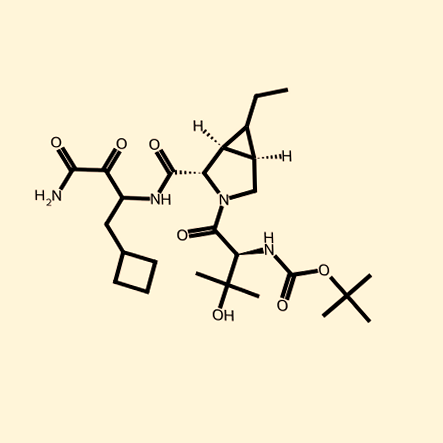 CCC1[C@H]2[C@@H]1CN(C(=O)[C@@H](NC(=O)OC(C)(C)C)C(C)(C)O)[C@@H]2C(=O)NC(CC1CCC1)C(=O)C(N)=O